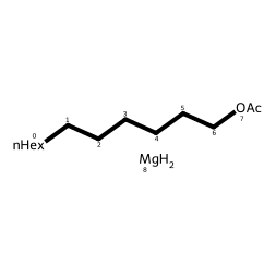 CCCCCCCCCCCCOC(C)=O.[MgH2]